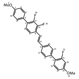 COc1ccc(-c2ccc(/C=C/c3ccc(-c4ccc(OC)cc4F)cc3)c(F)c2F)cc1